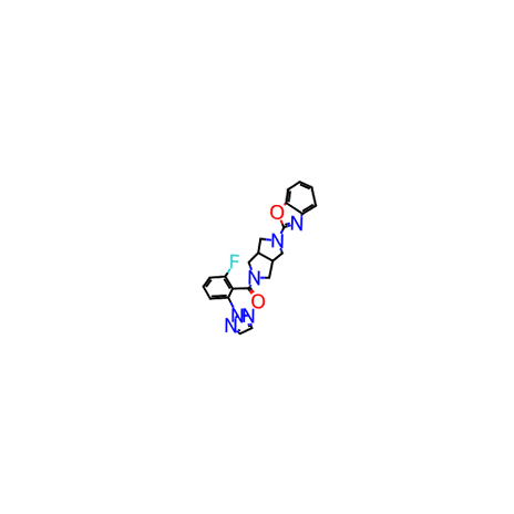 O=C(c1c(F)cccc1-n1nccn1)N1CC2CN(c3nc4ccccc4o3)CC2C1